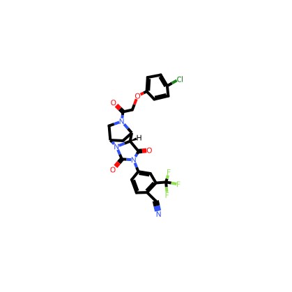 N#Cc1ccc(N2C(=O)[C@H]3C4CC(CN4C(=O)COc4ccc(Cl)cc4)N3C2=O)cc1C(F)(F)F